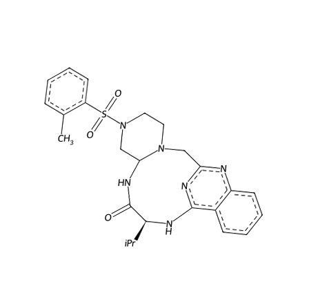 Cc1ccccc1S(=O)(=O)N1CCN2Cc3nc(c4ccccc4n3)N[C@@H](C(C)C)C(=O)NC2C1